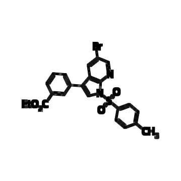 CCOC(=O)c1cccc(-c2cn(S(=O)(=O)c3ccc(C)cc3)c3ncc(Br)cc23)c1